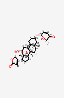 C[C@@H]1O[C@@H](O[C@H]2CC[C@@]3(C)[C@H](CC[C@@H]4[C@@H]3C[C@@H](O)[C@]3(C)[C@@H](C5=CC(=O)OC5)CC[C@]43O)C2)C=CC1=O